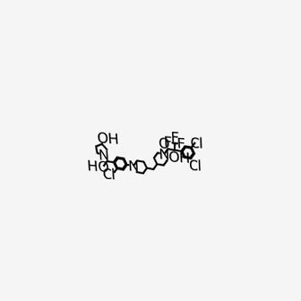 O=C(N1CCC(CC2CCN(c3ccc(C(O)N4CC[C@@H](O)C4)c(Cl)c3)CC2)CC1)C(O)(c1cc(Cl)cc(Cl)c1)C(F)(F)F